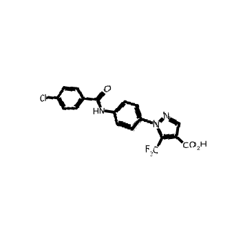 O=C(Nc1ccc(-n2ncc(C(=O)O)c2C(F)(F)F)cc1)c1ccc(Cl)cc1